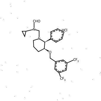 Cl.O=CN(CN1CCC[C@H](OCc2cc(C(F)(F)F)cc(C(F)(F)F)c2)[C@@H]1c1ccccc1)C1CC1